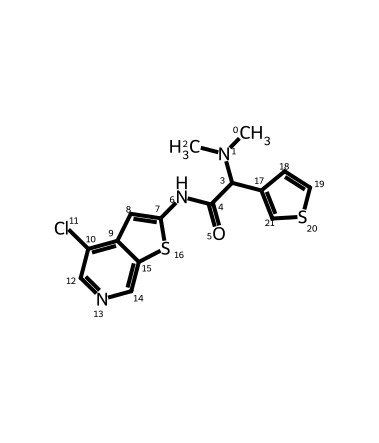 CN(C)C(C(=O)Nc1cc2c(Cl)cncc2s1)c1ccsc1